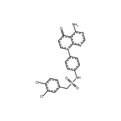 Nc1ncnc2c1c(=O)ccn2-c1ccc(NS(=O)(=O)Cc2ccc(Cl)c(Cl)c2)cc1